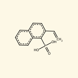 C=Cc1ccc2ccccc2c1P(=O)(O)O